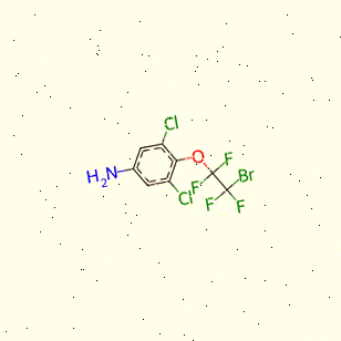 Nc1cc(Cl)c(OC(F)(F)C(F)(F)Br)c(Cl)c1